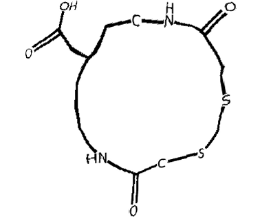 O=C1CSCSCC(=O)NCCC(C(=O)O)CCN1